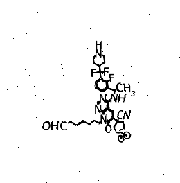 CC(Nc1ncnc2c1cc(C1(C#N)CCS(=O)(=O)CC1)c(=O)n2CCCCCCC=O)c1cccc(C(F)(F)C2CCNCC2)c1F